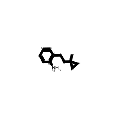 CC1(CCc2c#cccc2N)CC1